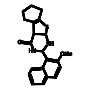 COc1ccc2ccccc2c1C1NC(=O)C2C3=C(CCCC3)SC2N1